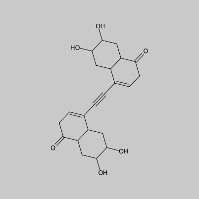 O=C1CC=C(C#CC2=CCC(=O)C3CC(O)C(O)CC23)C2CC(O)C(O)CC12